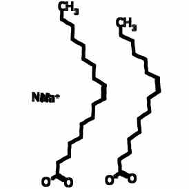 CCCCCC/C=C\CCCCCCCC(=O)[O-].CCCCCCCC/C=C\CCCCCCCC(=O)[O-].[Na+].[Na+]